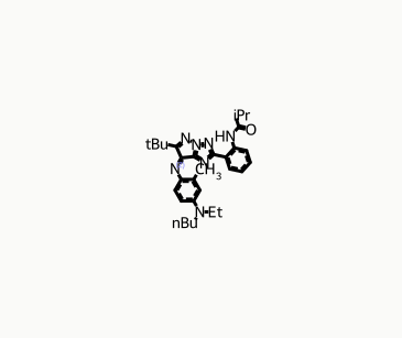 CCCCN(CC)c1ccc(/N=C2/C(C(C)(C)C)=Nn3nc(-c4ccccc4NC(=O)C(C)C)nc32)c(C)c1